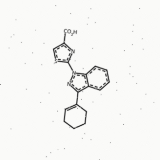 O=C(O)c1csc(-n2nc(C3=CCCCC3)c3ccccc32)n1